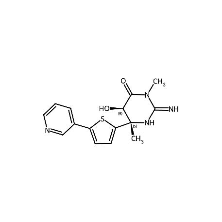 CN1C(=N)N[C@](C)(c2ccc(-c3cccnc3)s2)[C@@H](O)C1=O